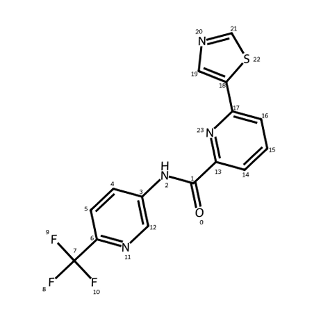 O=C(Nc1ccc(C(F)(F)F)nc1)c1cccc(-c2cncs2)n1